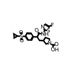 O=C(Nc1ncc(F)s1)C(CC1CCN(C(=O)O)C1)c1ccc(S(=O)(=O)C2CC2)cc1